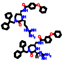 CCC(NC(=N)N)[C@@H]1N[C@H](CNC(=O)c2cccc(Oc3ccccc3)c2)CCN(CC(c2ccccc2)c2ccccc2)C1=O.N=C(N)NCCC[C@@H]1N[C@H](CNC(=O)c2ccc(Oc3ccccc3)cc2)CCN(CC(c2ccccc2)c2ccccc2)C1=O